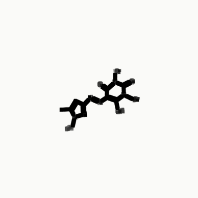 CCCn1nc(N=Nc2c(O)n(C(C)C)c(=O)n(C(C)C)c2=O)cc1C